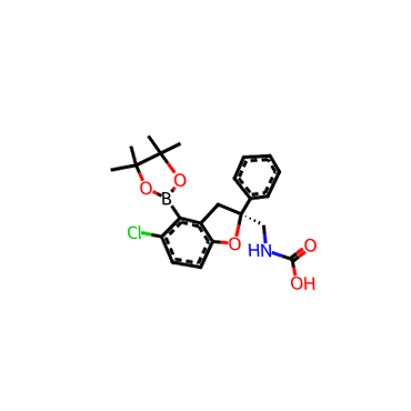 CC1(C)OB(c2c(Cl)ccc3c2C[C@@](CNC(=O)O)(c2ccccc2)O3)OC1(C)C